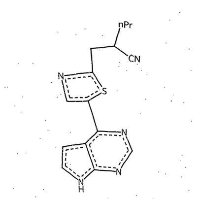 CCCC(C#N)Cc1ncc(-c2ncnc3[nH]ccc23)s1